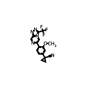 COc1cc(C2(C#N)CC2)ccc1-c1cn2c(C(F)(F)F)nnc2cn1